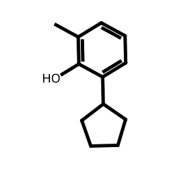 Cc1cccc(C2CCCC2)c1O